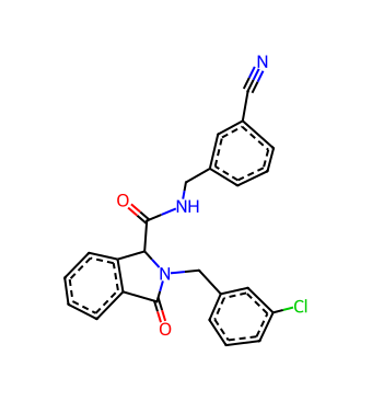 N#Cc1cccc(CNC(=O)C2c3ccccc3C(=O)N2Cc2cccc(Cl)c2)c1